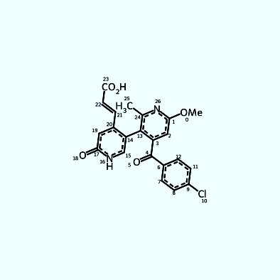 COc1cc(C(=O)c2ccc(Cl)cc2)c(-c2c[nH]c(=O)cc2/C=C/C(=O)O)c(C)n1